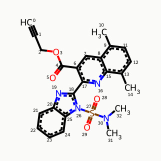 C#CCOC(=O)c1cc2c(C)ccc(C)c2nc1-c1nc2ccccc2n1S(=O)(=O)N(C)C